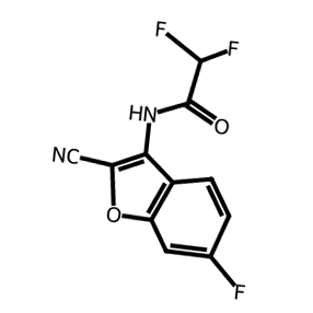 N#Cc1oc2cc(F)ccc2c1NC(=O)C(F)F